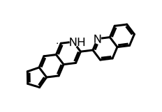 [c]1[nH]c(-c2ccc3ccccc3n2)cc2cc3cccc3cc12